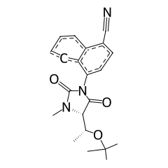 C[C@@H](OC(C)(C)C)[C@H]1C(=O)N(c2ccc(C#N)c3ccccc23)C(=O)N1C